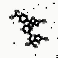 CC(C)c1ccc(C(O)(c2cncc(CCC(C)(O)c3ccn(C)n3)c2)C2(C)CN(C)C2)cc1